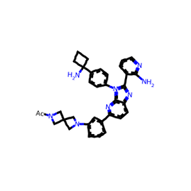 CC(=O)N1CC2(C1)CN(c1cccc(-c3ccc4nc(-c5cccnc5N)n(-c5ccc(C6(N)CCC6)cc5)c4n3)c1)C2